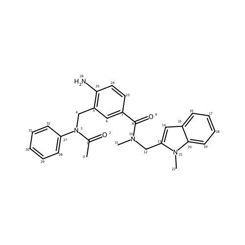 CC(=O)N(Cc1cc(C(=O)N(C)Cc2cc3ccccc3n2C)ccc1N)c1ccccc1